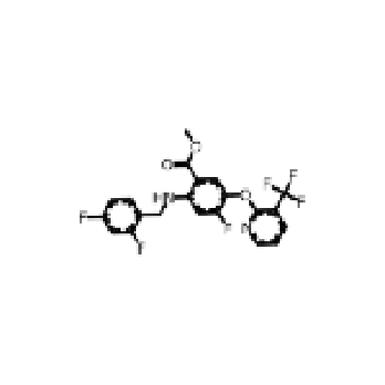 COC(=O)c1cc(Oc2ncccc2C(F)(F)F)c(F)cc1NCc1ccc(F)cc1F